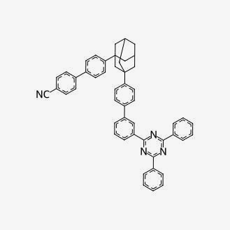 N#Cc1ccc(-c2ccc(C34CC5CC(C3)CC(c3ccc(-c6cccc(-c7nc(-c8ccccc8)nc(-c8ccccc8)n7)c6)cc3)(C5)C4)cc2)cc1